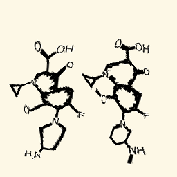 CNC1CCCN(c2c(F)cc3c(=O)c(C(=O)O)cn(C4CC4)c3c2OC)C1.NC1CCN(c2c(F)cc3c(=O)c(C(=O)O)cn(C4CC4)c3c2Cl)C1